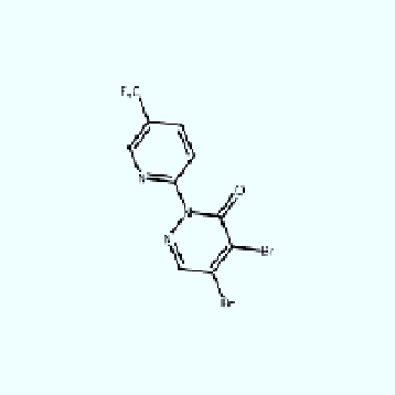 O=c1c(Br)c(Br)cnn1-c1ccc(C(F)(F)F)cn1